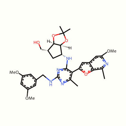 COc1cc(CNc2nc(C)c(-c3cc4cc(OC)nc(C)c4o3)c(N[C@@H]3C[C@H](CO)[C@H]4OC(C)(C)O[C@H]43)n2)cc(OC)c1